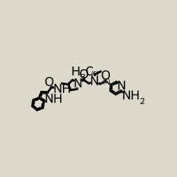 C[C@H]1CO[C@@H](c2ccc(N)nc2)CN1CC(=O)N1CCC(CNC(=O)c2cc3ccccc3[nH]2)C1